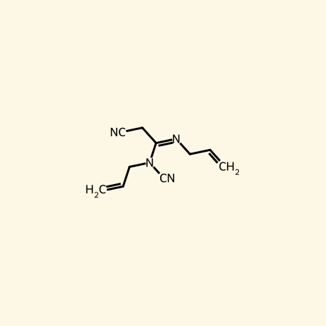 C=CCN=C(CC#N)N(C#N)CC=C